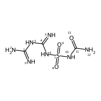 N=C(N)NC(=N)NS(=O)(=O)NC(N)=O